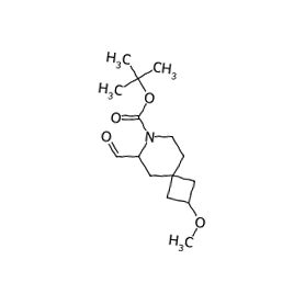 COC1CC2(CCN(C(=O)OC(C)(C)C)C(C=O)C2)C1